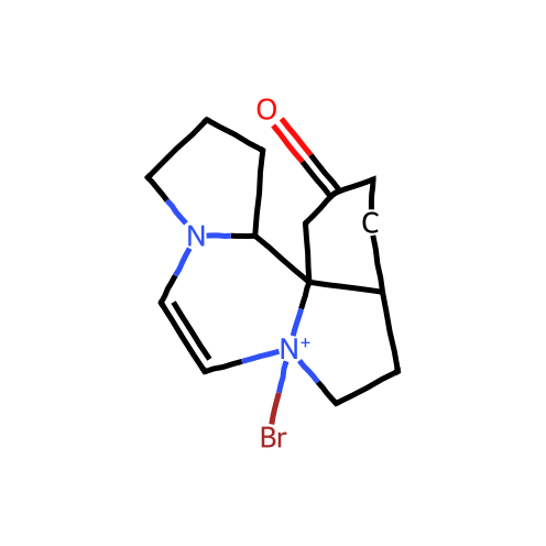 O=C1CCC2CC[N+]3(Br)C=CN4CCCC4C23C1